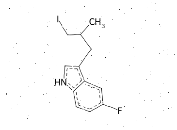 CC(CI)Cc1c[nH]c2ccc(F)cc12